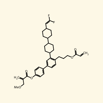 C=CC(=O)OCCCc1ccc(-c2ccc(OC(=O)C(=C)COC)cc2)cc1C1CCC(C2CCC(C=C(F)F)CC2)CC1